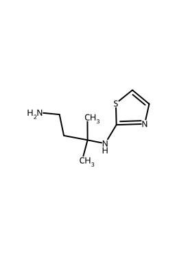 CC(C)(CCN)Nc1nccs1